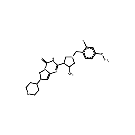 COc1ccc(CN2CC(C)C(C3=NC4=CN(C5CCOCC5)CN4C(=O)N3)C2)c(Cl)c1